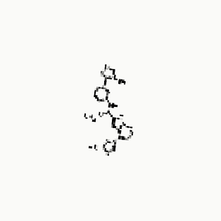 C.CC(C)n1cnnc1-c1cccc(NC(=O)c2cc3c(-n4cnc(S)c4)cccc3o2)n1